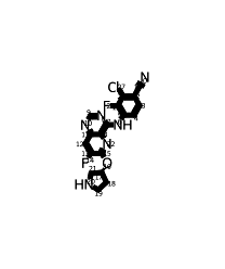 N#Cc1ccc(Nc2ncnc3cc(F)c(O[C@H]4CCNC4)nc23)c(F)c1Cl